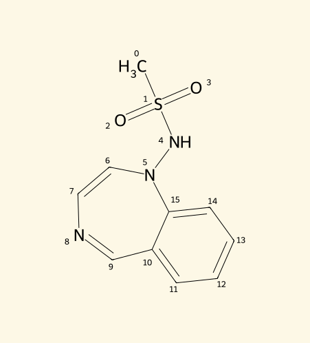 CS(=O)(=O)NN1C=CN=Cc2ccccc21